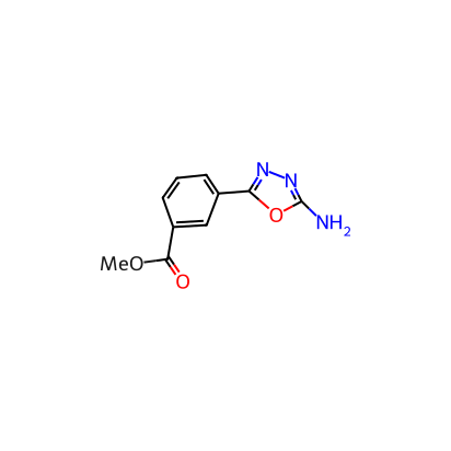 COC(=O)c1cccc(-c2nnc(N)o2)c1